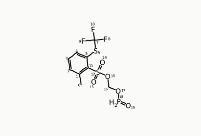 Cc1cccc(SC(F)(F)F)c1S(=O)(=O)OCO[PH2]=O